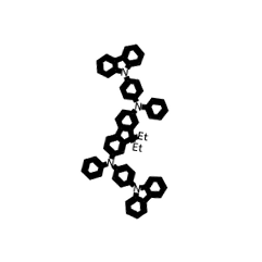 CCC1(CC)c2cc(N(c3ccccc3)c3ccc(-n4c5ccccc5c5ccccc54)cc3)ccc2-c2ccc(N(c3ccccc3)c3ccc(-n4c5ccccc5c5ccccc54)cc3)cc21